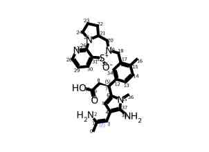 C/C(N)=C/c1cc([C@@H](CC(=O)O)c2ccc(C)c(CN3CC4CCCN4c4ncccc4[S+]3[O-])c2)n(C)c1N